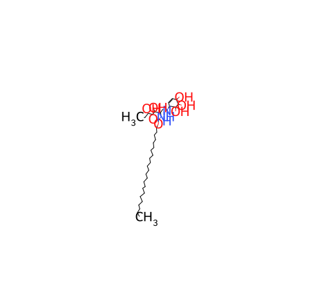 CCCCCCCCCCCCCCCCCCCCCCCCOC(=O)NC(CNC1C=CC(O)C(O)C1O)C(O)CC(O)CC